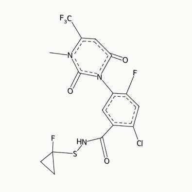 Cn1c(C(F)(F)F)cc(=O)n(-c2cc(C(=O)NSC3(F)CC3)c(Cl)cc2F)c1=O